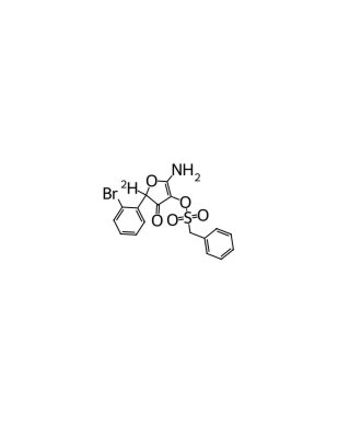 [2H]C1(c2ccccc2Br)OC(N)=C(OS(=O)(=O)Cc2ccccc2)C1=O